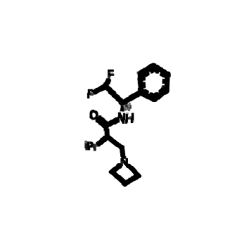 CC(C)C(CN1CCC1)C(=O)N[C@@H](c1ccccc1)C(F)F